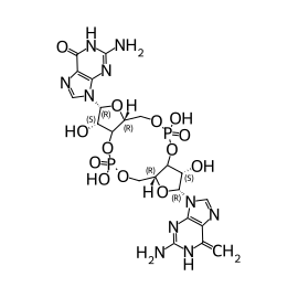 C=C1NC(N)=Nc2c1ncn2[C@@H]1O[C@@H]2COP(=O)(O)OC3[C@@H](COP(=O)(O)OC2[C@@H]1O)O[C@@H](n1cnc2c(=O)[nH]c(N)nc21)[C@H]3O